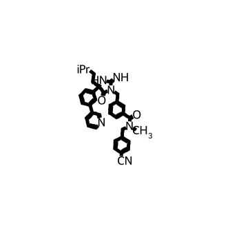 CC(C)CCC1(c2cccc(-c3cccnc3)c2)NC(=N)N(Cc2cccc(C(=O)N(C)Cc3ccc(C#N)cc3)c2)C1=O